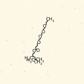 CCCCOCCOCCOCCOCCCC(=O)OCCC(C)CC(C)(C)C